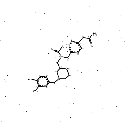 CC(=O)N(C[C@@H]1CN(Cc2ccc(Cl)c(Cl)c2)CCO1)Sc1ccc(CC(N)=O)nn1